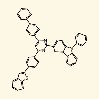 c1ccc(-c2ccc(-c3cc(-c4ccc(-c5cc6ccccc6s5)cc4)nc(-c4ccc5c(c4)c4ccccc4n5-c4ccccc4)n3)cc2)cc1